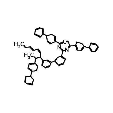 C=C/C=C/C=C\C(c1cccc(C2C=CC=C(C3=NC(C4=CCC(c5ccccc5)C=C4)=C=CC(C4=CC=C(c5ccccc5)CC4)=N3)C2)c1)C(C)C1=CC=C(C2C=CC=CC2)CC1